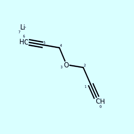 C#CCOCC#C.[Li]